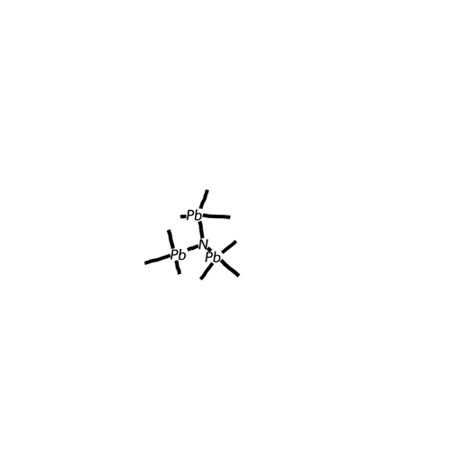 [CH3][Pb]([CH3])([CH3])[N]([Pb]([CH3])([CH3])[CH3])[Pb]([CH3])([CH3])[CH3]